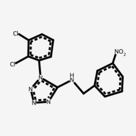 O=[N+]([O-])c1cccc(CNc2nnnn2-c2cccc(Cl)c2Cl)c1